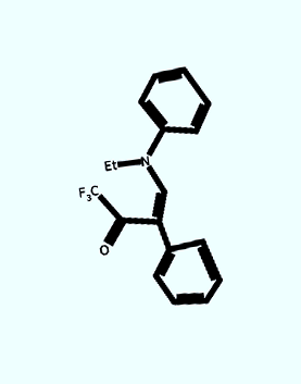 CCN(C=C(C(=O)C(F)(F)F)c1ccccc1)c1ccccc1